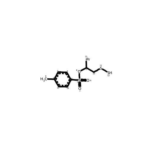 Cc1ccc(S(=O)(=O)OC(CSS)C(C)C)cc1